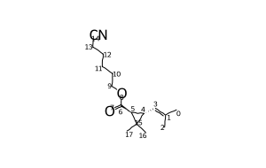 CC(C)=C[C@H]1[C@H](C(=O)OCCCCCC#N)C1(C)C